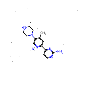 Cc1cc(-c2ccnc(N)n2)ncc1N1CCNCC1.[N]